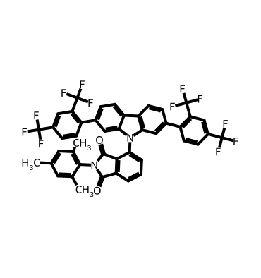 Cc1cc(C)c(N2C(=O)c3cccc(-n4c5cc(-c6ccc(C(F)(F)F)cc6C(F)(F)F)ccc5c5ccc(-c6ccc(C(F)(F)F)cc6C(F)(F)F)cc54)c3C2=O)c(C)c1